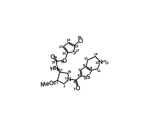 COC1CN(C(=O)c2cc3c(s2)CN(C)CC3)CC1NC(=O)Oc1ccc(Cl)s1